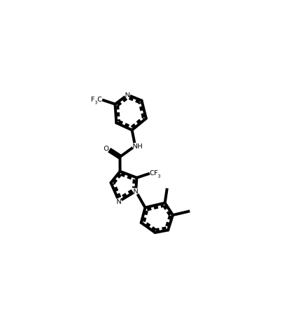 Cc1cccc(-n2ncc(C(=O)Nc3ccnc(C(F)(F)F)c3)c2C(F)(F)F)c1C